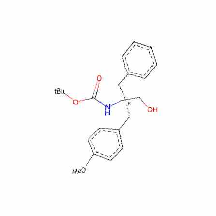 COc1ccc(C[C@@](CO)(Cc2ccccc2)NC(=O)OC(C)(C)C)cc1